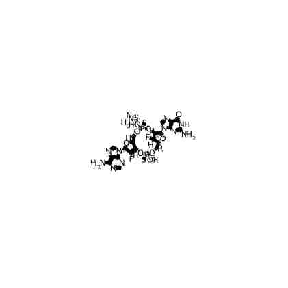 Nc1nc2c(ncn2[C@@H]2O[C@@H]3CO[P@@](O)(=S)O[C@H]4[C@H](F)[C@H](n5cnc6c(N)ncnc65)O[C@@H]4CO[P@@](O)(=S)O[C@@H]2[C@@H]3F)c(=O)[nH]1.O.[Na].[Na]